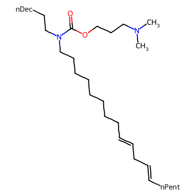 CCCCCC=CCC=CCCCCCCCCN(CCCCCCCCCCCC)C(=O)OCCCN(C)C